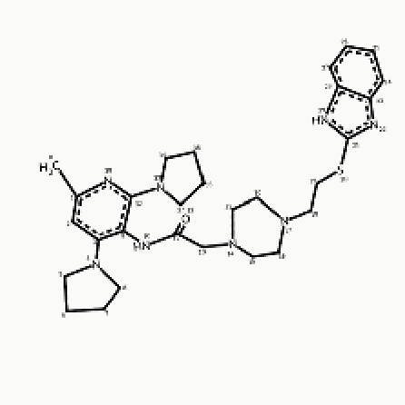 Cc1cc(N2CCCC2)c(NC(=O)CN2CCN(CCSc3nc4ccccc4[nH]3)CC2)c(N2CCCC2)n1